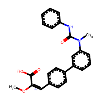 CO/C(=C/c1ccc(-c2cccc(N(C)C(=O)Nc3ccccc3)c2)cc1)C(=O)O